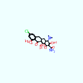 CN(C)C1C(O)=C(C(N)=O)C(=O)C2(O)C(O)=C3C(=O)c4c([c]c(Cl)cc4O)CC3CC12